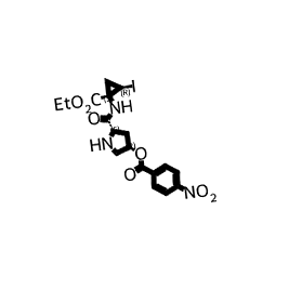 CCOC(=O)[C@@]1(NC(=O)[C@@H]2C[C@@H](OC(=O)c3ccc([N+](=O)[O-])cc3)CN2)C[C@H]1I